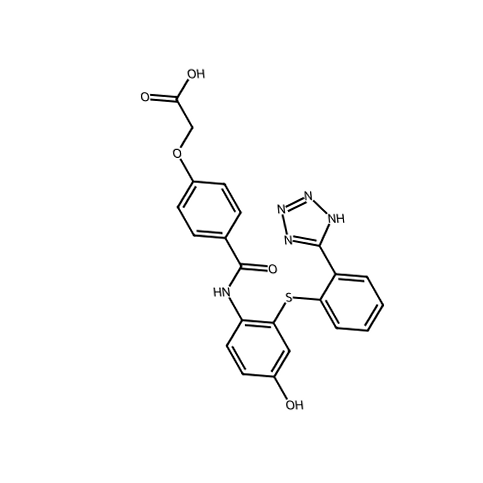 O=C(O)COc1ccc(C(=O)Nc2ccc(O)cc2Sc2ccccc2-c2nnn[nH]2)cc1